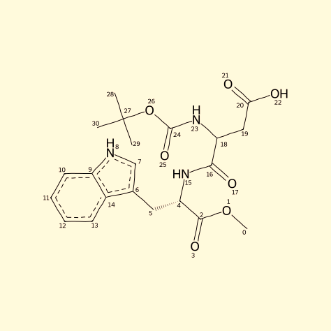 COC(=O)[C@H](Cc1c[nH]c2ccccc12)NC(=O)C(CC(=O)O)NC(=O)OC(C)(C)C